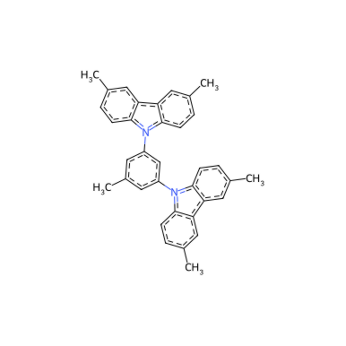 Cc1cc(-n2c3ccc(C)cc3c3cc(C)ccc32)cc(-n2c3ccc(C)cc3c3cc(C)ccc32)c1